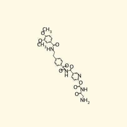 COc1ccc(C(=O)NCCc2ccc(S(=O)(=O)NC(=O)c3ccc(OC(=O)NC(=O)CN)nc3)cc2)cc1OC